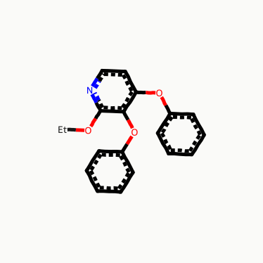 CCOc1nccc(Oc2ccccc2)c1Oc1ccccc1